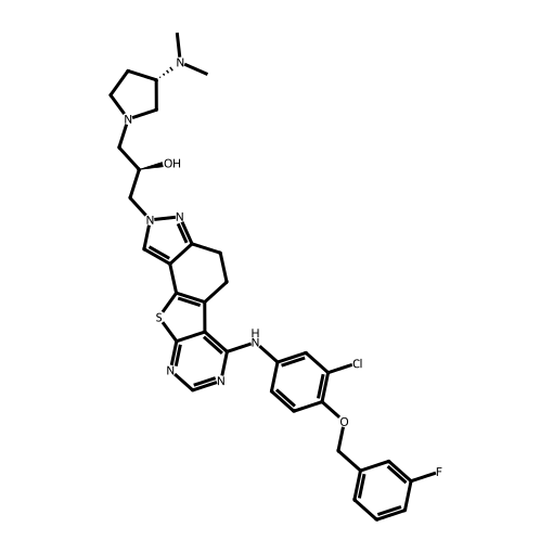 CN(C)[C@H]1CCN(C[C@@H](O)Cn2cc3c(n2)CCc2c-3sc3ncnc(Nc4ccc(OCc5cccc(F)c5)c(Cl)c4)c23)C1